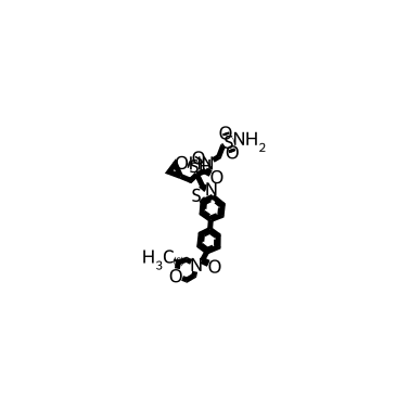 C[C@H]1CN(C(=O)c2ccc(-c3ccc4nc(C(CC5CC5)(C(=O)NCCS(N)(=O)=O)[SH](=O)=O)sc4c3)cc2)CCO1